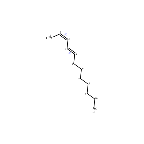 CCC/C=C\C=C\CCCCCCC(C)=O